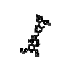 CCOc1nc(C(F)(F)F)cc(NC(=O)NCc2cc(C)c(-c3cn(C)nc3C(F)(F)F)nn2)c1Br